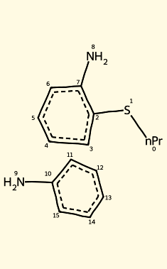 CCCSc1ccccc1N.Nc1ccccc1